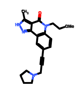 COCCn1c(=O)c2c(C)[nH]nc2c2cc(C#CCN3CCCC3)ccc21